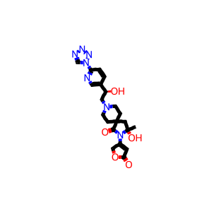 CC1(O)CC2(CCN(C[C@H](O)c3ccc(-n4cnnn4)nc3)CC2)C(=O)N1C1=CC(=O)OC1